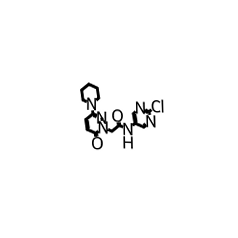 O=C(Cn1nc(N2CCCCC2)ccc1=O)Nc1cnc(Cl)nc1